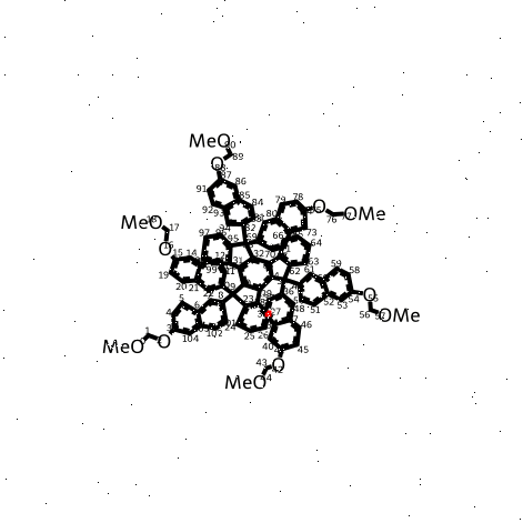 COCOc1ccc2cc(C3(c4ccc5cc(OCOC)ccc5c4)c4ccccc4-c4c3c3c(c5c4C(c4ccc6cc(OCOC)ccc6c4)(c4ccc6cc(OCOC)ccc6c4)c4ccccc4-5)C(c4ccc5cc(OCOC)ccc5c4)(c4ccc5cc(OCOC)ccc5c4)c4ccccc4-3)ccc2c1